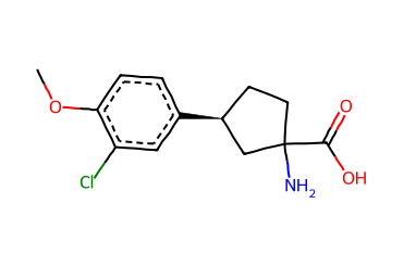 COc1ccc([C@H]2CCC(N)(C(=O)O)C2)cc1Cl